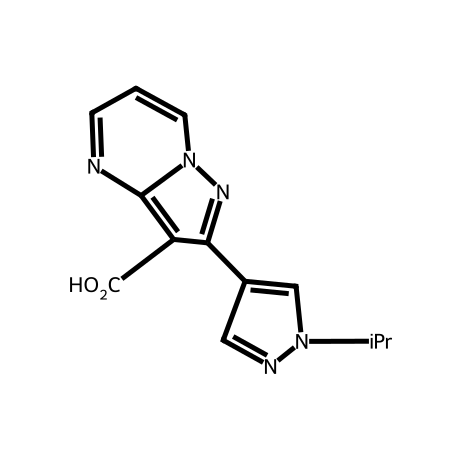 CC(C)n1cc(-c2nn3cccnc3c2C(=O)O)cn1